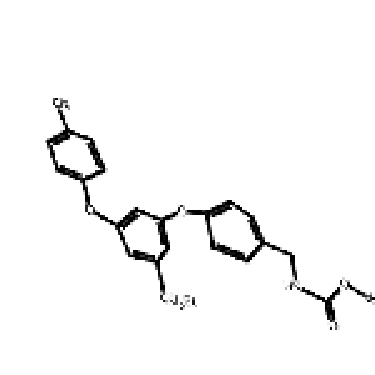 CCOC(=O)c1cc(Oc2ccc(C#N)cc2)cc(Oc2ccc(CNC(=O)OC(C)(C)C)cc2)c1